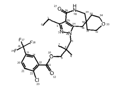 CCc1nn(CC(C)(C)COC(=O)c2cc(C(F)(F)F)ccc2Cl)c2c1C(=O)NCC1(CCOCC1)C2